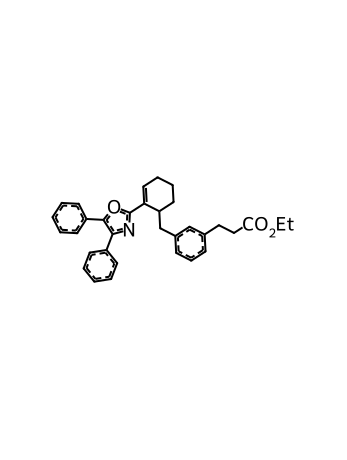 CCOC(=O)CCc1cccc(CC2CCCC=C2c2nc(-c3ccccc3)c(-c3ccccc3)o2)c1